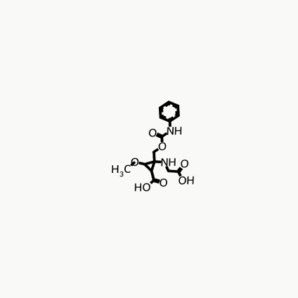 COC1C(C(=O)O)C1(COC(=O)Nc1ccccc1)NCC(=O)O